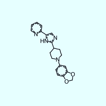 c1ccc(-c2cnc(C3CCN(c4ccc5c(c4)OCO5)CC3)[nH]2)nc1